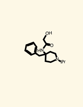 CC(C)N1CCC(Cc2ccccc2)(NC(=O)CO)CC1